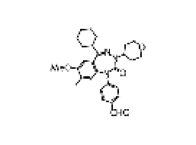 COc1cc2c(cc1C)N(c1ccc(C=O)cc1)C(=O)N(C1CCOCC1)N=C2C1CCCCC1